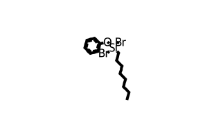 CCCCCCCC[Si](Br)(Br)Oc1ccccc1